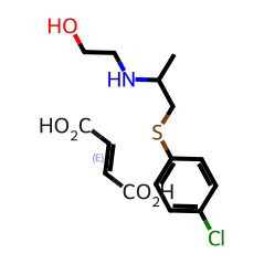 CC(CSc1ccc(Cl)cc1)NCCO.O=C(O)/C=C/C(=O)O